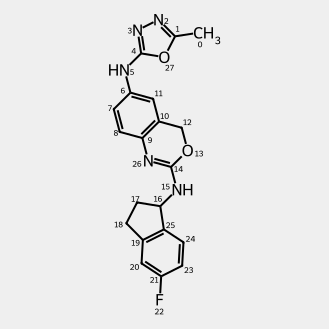 Cc1nnc(Nc2ccc3c(c2)COC(NC2CCc4cc(F)ccc42)=N3)o1